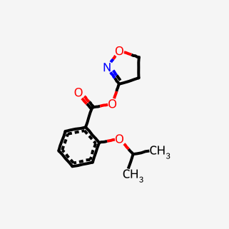 CC(C)Oc1ccccc1C(=O)OC1=NOCC1